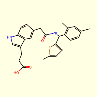 Cc1ccc(C(NC(=O)Cc2ccc3[nH]cc(CCC(=O)O)c3c2)c2ccc(C)s2)c(C)c1